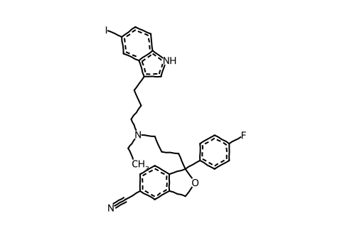 CCN(CCCc1c[nH]c2ccc(I)cc12)CCCC1(c2ccc(F)cc2)OCc2cc(C#N)ccc21